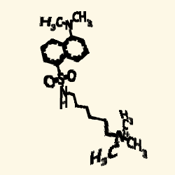 CN(C)c1cccc2c(S(=O)(=O)NCCCCCC[N+](C)(C)C)cccc12